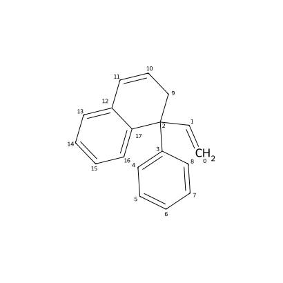 C=CC1(c2ccccc2)CC=Cc2ccccc21